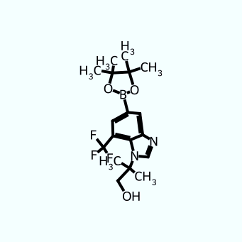 CC(C)(CO)n1cnc2cc(B3OC(C)(C)C(C)(C)O3)cc(C(F)(F)F)c21